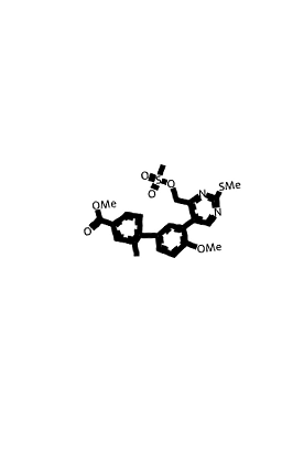 COC(=O)c1ccc(-c2ccc(OC)c(-c3cnc(SC)nc3COS(C)(=O)=O)c2)c(C)c1